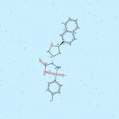 Cc1ccc(S(=O)(=O)NC(C(=O)O)[C@@H]2CO[C@@H](c3ccc4ccccc4c3)C2)cc1